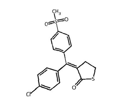 CS(=O)(=O)c1ccc(C(=C2CCSC2=O)c2ccc(Cl)cc2)cc1